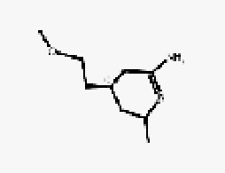 COCC[C@H]1CC(N)=NC(C)C1